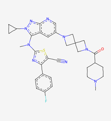 CN1CCC(C(=O)N2CC3(C2)CN(c2cnc4nn(C5CC5)c(N(C)c5nc(-c6ccc(F)cc6)c(C#N)s5)c4c2)C3)CC1